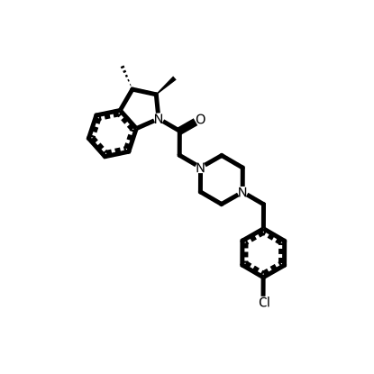 C[C@@H]1[C@@H](C)c2ccccc2N1C(=O)CN1CCN(Cc2ccc(Cl)cc2)CC1